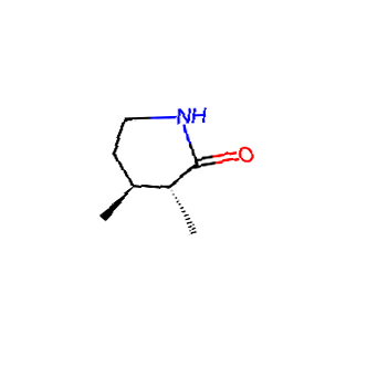 C[C@H]1CCNC(=O)[C@@H]1C